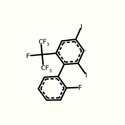 Fc1ccccc1-c1c(I)[c]c(I)cc1C(F)(C(F)(F)F)C(F)(F)F